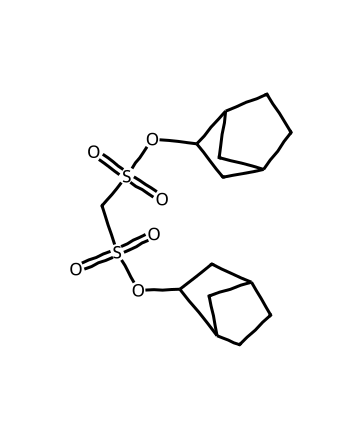 O=S(=O)(CS(=O)(=O)OC1CC2CCC1C2)OC1CC2CCC1C2